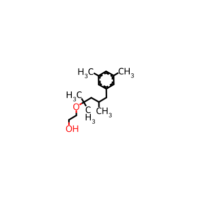 Cc1cc(C)cc(CC(C)CC(C)(C)OCCO)c1